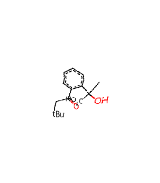 CC(C)(C)CC(=O)c1ccccc1C(C)(O)C(=O)O